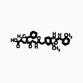 COc1cc(CC(=O)NCC(=O)N(CCC(=O)O)C(C)c2ccccc2)ccc1NC(=O)Nc1ccccc1C